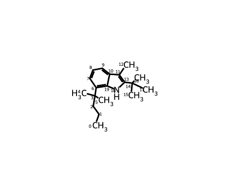 CCCC(C)(C)c1cccc2c(C)c(C(C)(C)C)[nH]c12